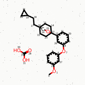 COc1cccc(Oc2cccc(C34CCC(CCC5CC5)(CC3)CO4)c2)c1.O=C(O)O